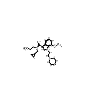 CCCN(CC1CC1)C(=O)c1nn(CCN2CCOCC2)c2c(OC)cccc12